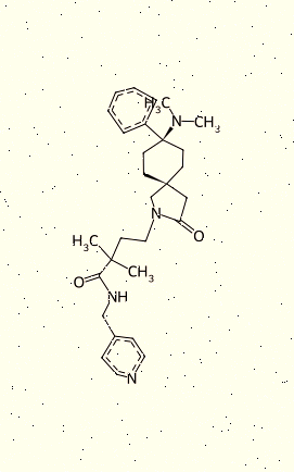 CN(C)[C@]1(c2ccccc2)CC[C@@]2(CC1)CC(=O)N(CCC(C)(C)C(=O)NCc1ccncc1)C2